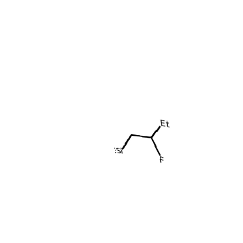 CCC(F)C[Si]